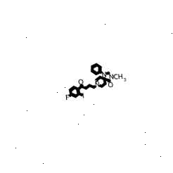 CN1CN(c2ccccc2)C2(CCN(CCCC(=O)c3ccc(F)cc3I)CC2)C1=O